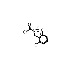 Cc1cccc(C)c1CN(C)C(=O)Cl